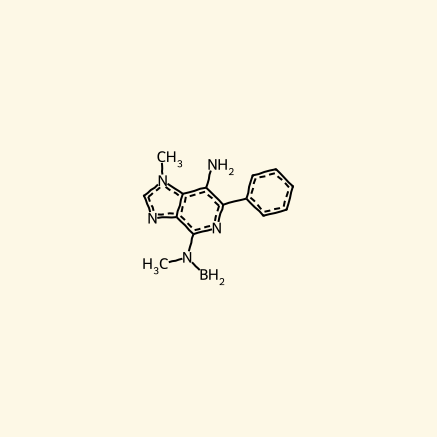 BN(C)c1nc(-c2ccccc2)c(N)c2c1ncn2C